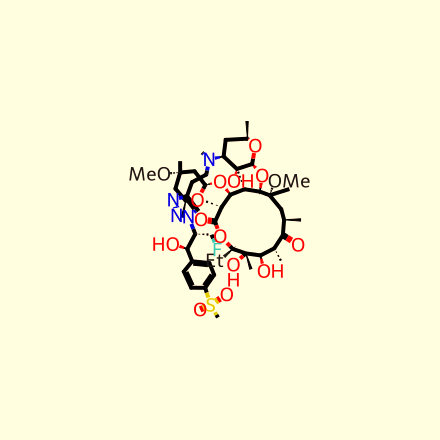 CC[C@H]1OC(=O)[C@H](C)[C@@H](O[C@H]2C[C@@](C)(OC)C[C@H](C)O2)[C@H](C)[C@@H](O[C@@H]2O[C@H](C)C[C@H](N(C)CCc3cn([C@H](CF)[C@H](O)c4ccc(S(C)(=O)=O)cc4)nn3)[C@H]2O)[C@](C)(OC)C[C@@H](C)C(=O)[C@H](C)[C@@H](O)[C@]1(C)O